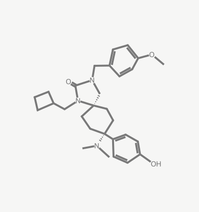 COc1ccc(CN2C[C@]3(CC[C@@](c4ccc(O)cc4)(N(C)C)CC3)N(CC3CCC3)C2=O)cc1